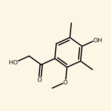 COc1c(C(=O)CO)cc(C)c(O)c1C